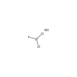 [F][Zr]([Cl])[Cl].[KH]